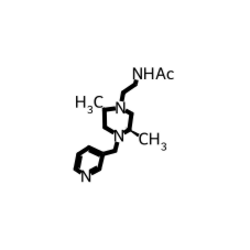 CC(=O)NCCN1C[C@@H](C)N(Cc2cccnc2)C[C@@H]1C